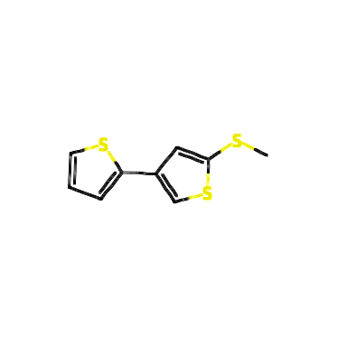 CSc1cc(-c2cccs2)cs1